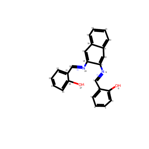 Oc1ccccc1/C=N/c1cc2ccccc2cc1/N=C/c1ccccc1O